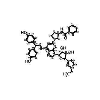 CCn1nnc([C@H]2O[C@@H](n3cnc4c(NCC(c5ccc(O)cc5)c5ccc(O)cc5)nc(N5CCC(NC(=O)c6ccncc6)C5)nc43)[C@H](O)[C@H]2O)n1